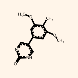 COc1cc(-c2cnc(=O)[nH]c2)cc(OC)c1C